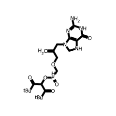 C=C(COC[PH](=O)OC(C(=O)C(C)(C)C)C(=O)C(C)(C)C)CN1CNc2c1nc(N)[nH]c2=O